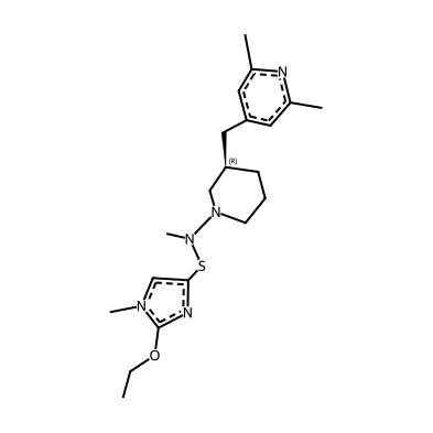 CCOc1nc(SN(C)N2CCC[C@H](Cc3cc(C)nc(C)c3)C2)cn1C